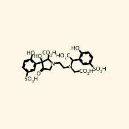 O=C(O)CN(CCN1CC(=O)C(O)(c2cc(S(=O)(=O)O)ccc2O)C1C(=O)O)C(C(=O)O)c1cc(S(=O)(=O)O)ccc1O